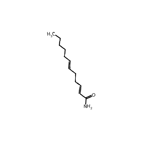 CCCCCC=CCCC=CC(N)=O